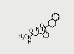 CNC(=O)CC(N)C1CCCN1C(=O)C1CCc2ccccc2C1